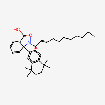 CCCCCCCCC=CC(=O)NC1(c2ccc3c(c2)C(C)(C)CCC3(C)C)C=CC=CC1C(=O)O